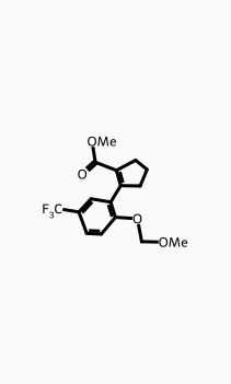 COCOc1ccc(C(F)(F)F)cc1C1=C(C(=O)OC)CCC1